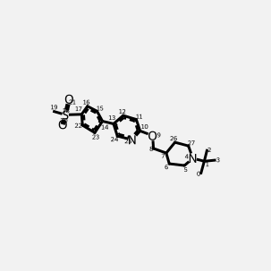 CC(C)(C)N1CCC(COc2ccc(-c3ccc(S(C)(=O)=O)cc3)cn2)CC1